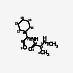 CNC(C)C(=O)NC([C]=O)C1CCCCC1